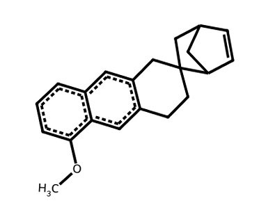 COc1cccc2cc3c(cc12)CCC1(C3)CC2C=CC1C2